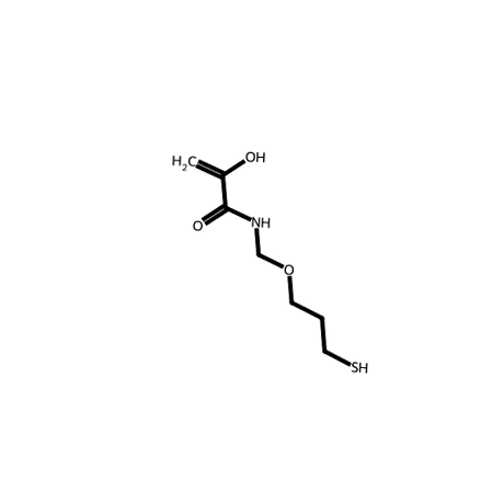 C=C(O)C(=O)NCOCCCS